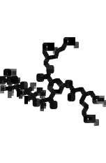 CCCCC(CC)COC(=O)c1cc(OC(=O)CC(CC)CCCC)cc(C(=O)C(F)(F)OC(F)(F)C(F)(F)OC(F)(F)C(F)(F)S(=O)(=O)O)c1